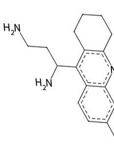 NCCC(N)c1c2c(nc3cc(Cl)ccc13)CCCC2